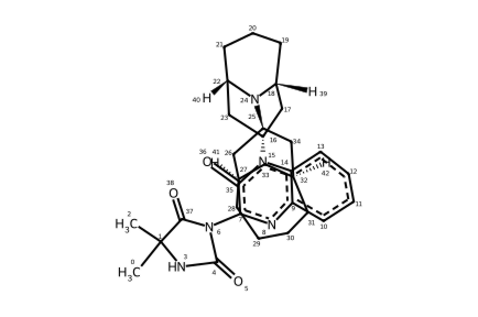 CC1(C)NC(=O)N(c2nc3ccccc3n([C@H]3C[C@H]4CCC[C@@H](C3)N4[C@@H]3C[C@@H]4CCCC[C@@H](C4)C3)c2=O)C1=O